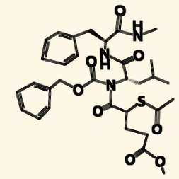 CNC(=O)[C@H](Cc1ccccc1)NC(=O)[C@H](CC(C)C)N(C(=O)OCc1ccccc1)C(=O)C(CCC(=O)OC)SC(C)=O